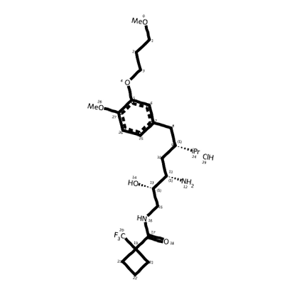 COCCCOc1cc(C[C@@H](C[C@H](N)[C@@H](O)CNC(=O)C2(C(F)(F)F)CCC2)C(C)C)ccc1OC.Cl